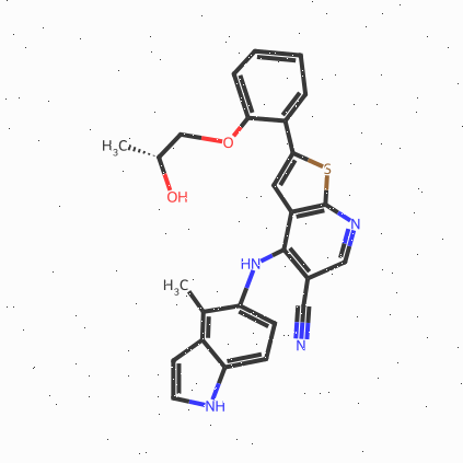 Cc1c(Nc2c(C#N)cnc3sc(-c4ccccc4OC[C@@H](C)O)cc23)ccc2[nH]ccc12